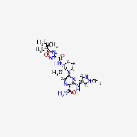 C[C@@H]1[C@H](NC(=O)c2noc(C(C)(C)C)n2)CCCN1c1cnc(C(N)=O)c(Nc2cnn(C)c2)n1